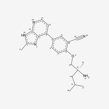 Cc1nc2c(-c3ccc(OC[C@@](C)(N)CC(C)C)c(C#N)c3)ccnc2[nH]1